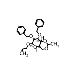 C=CCO[C@@H]1O[C@@H]2COC(C)O[C@H]2[C@@H](OCc2ccccc2)[C@H]1OCc1ccccc1